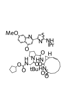 COc1ccc2c(O[C@@H]3CC(C(=O)N[C@]45C[C@H]4/C=C\CCCCCS(=O)(=O)NC5=O)N(C(=O)[C@@H](NC(=O)OC4CCCC4)C(C)(C)C)C3)cc(-c3csc(NC(C)C)n3)nc2c1